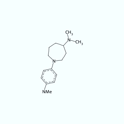 CNc1ccc(N2CCCC(N(C)C)CC2)cc1